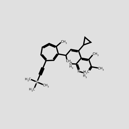 C=C(C)/C(C)=C(C(=C\C(C)C1=CC(C#C[Si](C)(C)C)=CC=C=C1C)/C1CC1)\C(C)=N/C